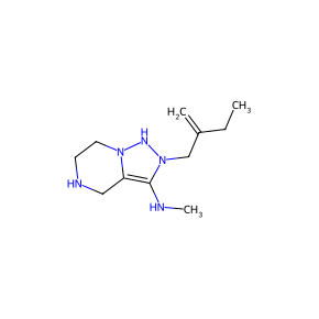 C=C(CC)CN1NN2CCNCC2=C1NC